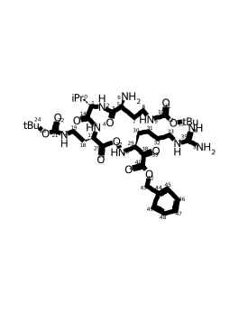 CC(C)[C@H](NC(=O)[C@@H](N)CCNC(=O)OC(C)(C)C)C(=O)N[C@@H](CCNC(=O)OC(C)(C)C)C(=O)ON[C@@H](CCCCNC(=N)N)C(=O)C(=O)OCc1ccccc1